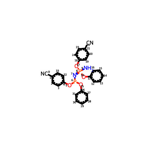 N#Cc1ccc(OP(N=P(N)(Oc2ccccc2)Oc2ccc(C#N)cc2)Oc2ccccc2)cc1